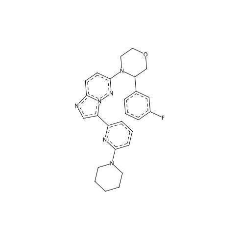 Fc1cccc(C2COCCN2c2ccc3ncc(-c4cccc(N5CCCCC5)n4)n3n2)c1